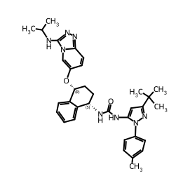 Cc1ccc(-n2nc(C(C)(C)C)cc2NC(=O)N[C@H]2CC[C@@H](Oc3ccc4nnc(NC(C)C)n4c3)c3ccccc32)cc1